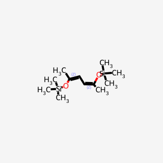 C/C(=C/C=C(/C)O[Si](C)(C)C)O[Si](C)(C)C